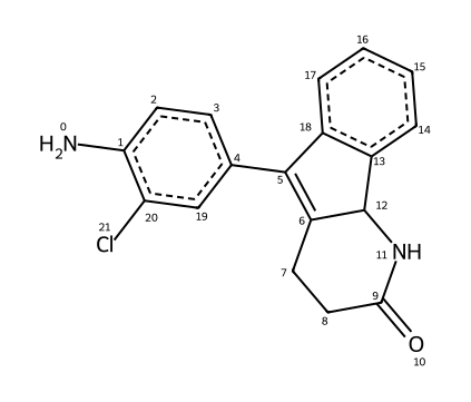 Nc1ccc(C2=C3CCC(=O)NC3c3ccccc32)cc1Cl